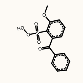 COc1cccc(C(=O)c2ccccc2)c1S(=O)(=O)OO